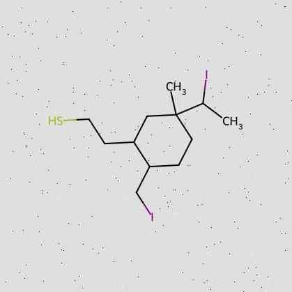 CC(I)C1(C)CCC(CI)C(CCS)C1